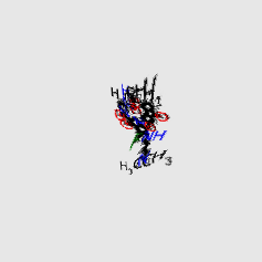 CN(C)CCCCNc1c(F)cc2c(=O)c(C(=O)N3CC[C@H](NC(=O)OC(C)(C)C)C3)cn3c4cc5c(cc4oc1c23)c(=O)c1ccccc15